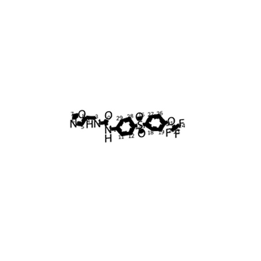 O=C(NCc1cnco1)Nc1ccc(S(=O)(=O)c2ccc(OC(F)(F)F)cc2)cc1